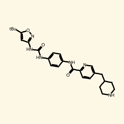 CC(C)(C)c1cc(NC(=O)Nc2ccc(NC(=O)c3ccc(CC4CCNCC4)cn3)cc2)no1